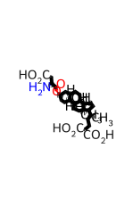 C[C@H](CCC(C(=O)O)C(=O)O)C1CC[C@H]2[C@@H]3CC[C@@H]4C[C@H](OC(=O)[C@@H](N)CC(=O)O)CC[C@]4(C)[C@H]3CC[C@]12C